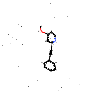 COc1ccnc(C#Cc2ccccc2)c1